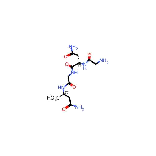 NCC(=O)N[C@@H](CC(N)=O)C(=O)NCC(=O)N[C@@H](CC(N)=O)C(=O)O